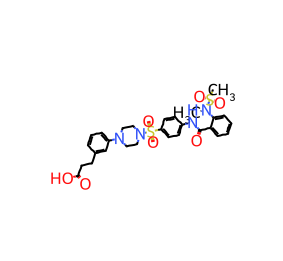 CN(c1ccccc1C(=O)Nc1ccc(S(=O)(=O)N2CCN(c3cccc(CCC(=O)O)c3)CC2)cc1)S(C)(=O)=O